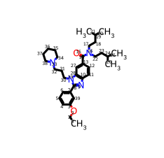 CCOc1cccc(-c2nc3ccc(C(=O)N(CCC(C)C)CCC(C)C)cc3n2CCCN2CCCCC2)c1